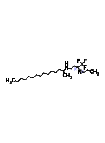 C=C/C=N\C(=C/CNC(=C)CCCCCCCCCCCCC)C(F)(F)F